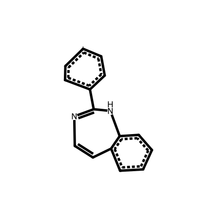 [c]1ccc(C2=NC=Cc3ccccc3N2)cc1